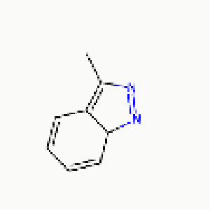 CC1=C2C=CC=CC2N=N1